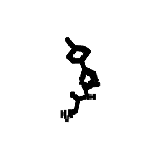 Cc1ccc(-c2csc(NC(=O)CN)n2)cc1